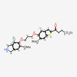 CCOC(=O)CCC(=O)c1cc2c(F)c(OCCCOc3c(OC)cc4c(c3Cl)CNC4)c(OC)cc2s1